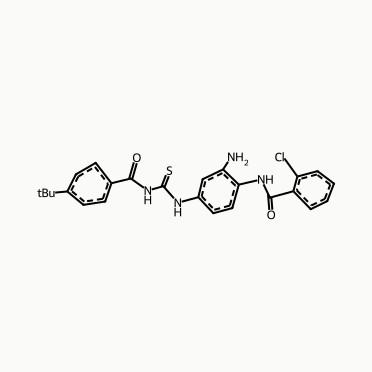 CC(C)(C)c1ccc(C(=O)NC(=S)Nc2ccc(NC(=O)c3ccccc3Cl)c(N)c2)cc1